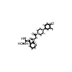 Cc1cc(N2CCN(C(=O)Cn3nc(C(=N)NO)c4cccnc43)CC2)ccc1Cl